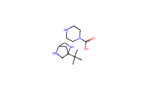 CC(C)(C)C12CNC(CN1)C2.O=C(O)N1CCNCC1